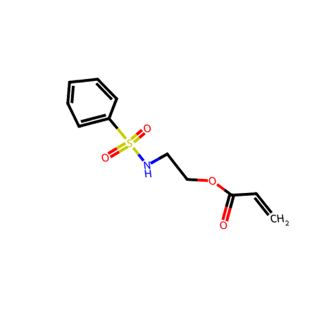 C=CC(=O)OCCNS(=O)(=O)c1ccccc1